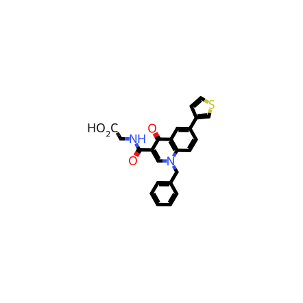 O=C(O)CNC(=O)c1cn(Cc2ccccc2)c2ccc(-c3ccsc3)cc2c1=O